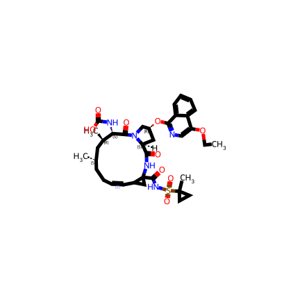 CCOc1cnc(O[C@@H]2C[C@H]3C(=O)NC4(C(=O)NS(=O)(=O)C5(C)CC5)CC4/C=C\CC[C@H](C)C[C@@H](C)[C@H](NC(=O)O)C(=O)N3C2)c2ccccc12